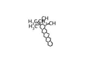 C#Cc1c([Si](C)(C)C)cc2cc3cc4cc5ccccc5cc4cc3cc2c1C#C